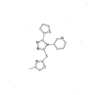 Cc1csc(Sc2nnc(-c3cccs3)n2-c2cccnc2)n1